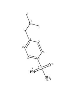 CN(C)Cc1ccc(S(=N)(N)=O)cc1